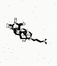 CN(C)CCCN1CC[C@]23C[C@]4(CC[C@@]2(O)[C@H]1Cc1ccc(O)cc13)NC(=O)NC4=O